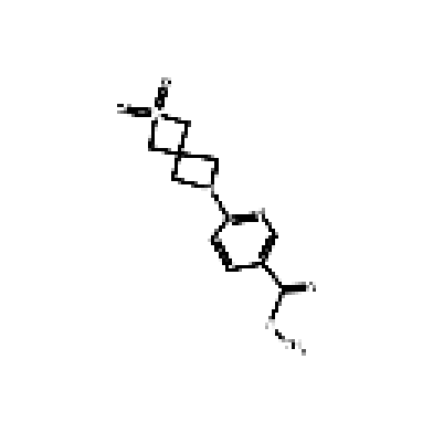 COC(=O)c1ccc(N2CC3(C2)CS(=O)(=O)C3)nc1